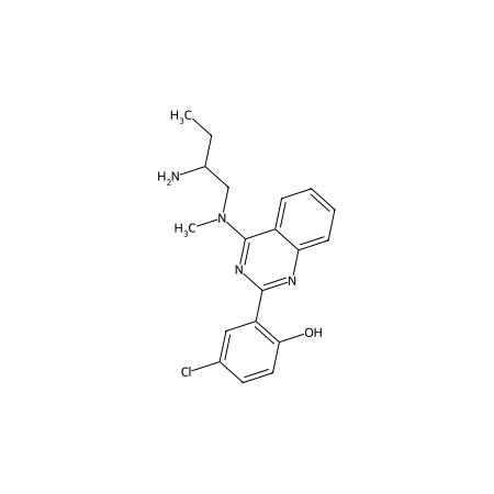 CCC(N)CN(C)c1nc(-c2cc(Cl)ccc2O)nc2ccccc12